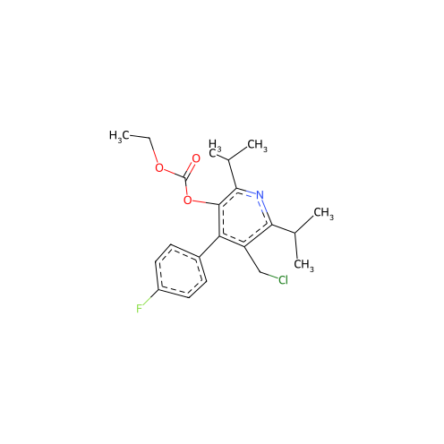 CCOC(=O)Oc1c(C(C)C)nc(C(C)C)c(CCl)c1-c1ccc(F)cc1